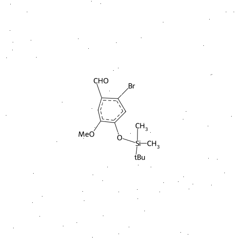 COc1cc(C=O)c(Br)cc1O[Si](C)(C)C(C)(C)C